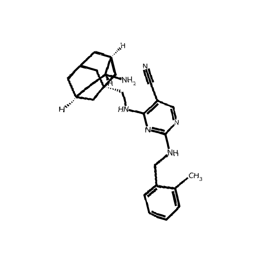 Cc1ccccc1CNc1ncc(C#N)c(NC[C@@]23CC4C[C@H](C2)[C@@H](N)[C@@H](C4)C3)n1